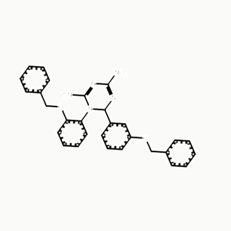 NC1=NC(c2cccc(OCc3ccccc3)c2)N(c2ccccc2OCc2ccccc2)C(N)=N1